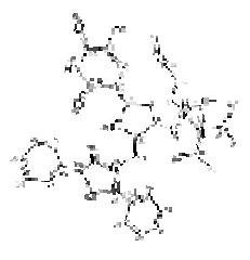 Cc1cn([C@H]2C[C@H](O[PH](O)(CCC#N)N(C(C)C)C(C)C)[C@@H](CC3=NC(c4ccccc4)CN3c3ccccc3)O2)c(=O)[nH]c1=O